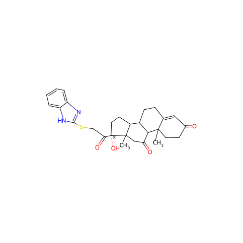 CC12CCC(=O)C=C1CCC1C2C(=O)CC2(C)C1CC[C@]2(O)C(=O)CSc1nc2ccccc2[nH]1